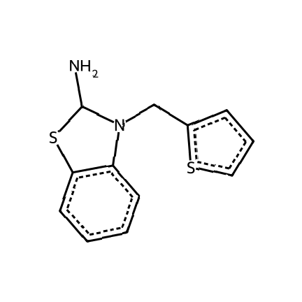 NC1Sc2ccccc2N1Cc1cccs1